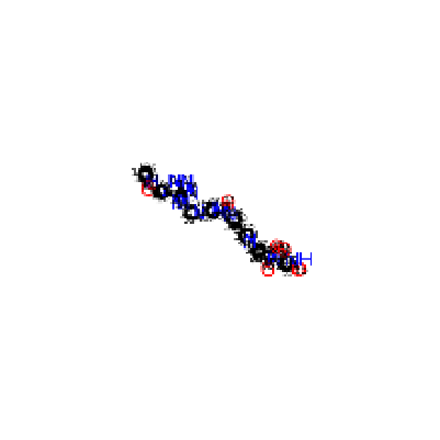 Nc1ncnc2c1c(-c1ccc(Oc3ccccc3)cc1)nn2C1CCCN(C2CCN(C(=O)N3CCC(C4CCN(c5ccc6c(c5)C(=O)N(C5CCC(=O)NC5=O)C6=O)CC4)CC3)CC2)C1